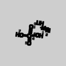 [LiH].[Mn].[Ni].[O]=[Cr](=[O])([OH])[OH]